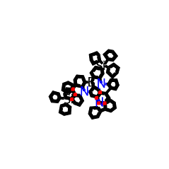 c1ccc(-c2ccccc2N2c3cc([Si](c4ccccc4)(c4ccccc4)c4ccccc4)ccc3B3c4cccc(-c5ccccc5)c4N(c4cccc([Si](c5ccccc5)(c5ccccc5)c5ccccc5)c4)c4cc(-n5c6ccccc6c6ccccc65)cc2c43)cc1